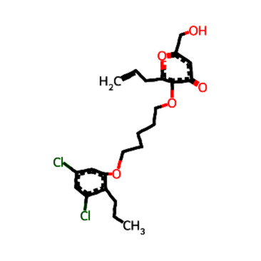 C=CCc1oc(CO)cc(=O)c1OCCCCCOc1cc(Cl)cc(Cl)c1CCC